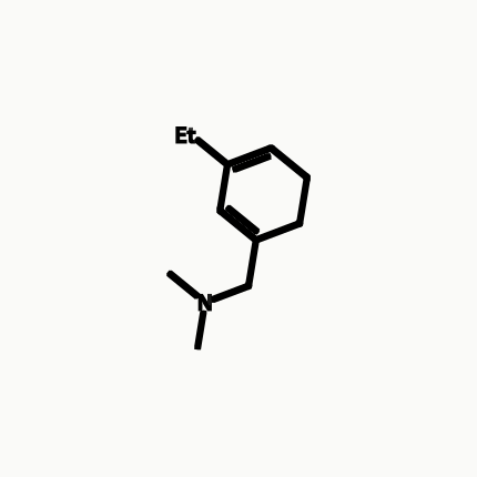 CCC1=CCCC(CN(C)C)=C1